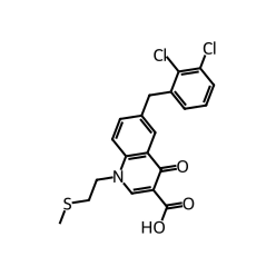 CSCCn1cc(C(=O)O)c(=O)c2cc(Cc3cccc(Cl)c3Cl)ccc21